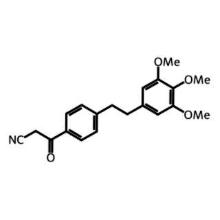 COc1cc(CCc2ccc(C(=O)CC#N)cc2)cc(OC)c1OC